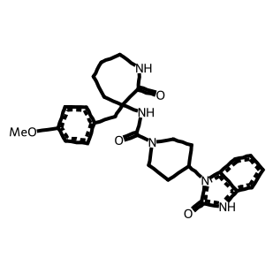 COc1ccc(CC2(NC(=O)N3CCC(n4c(=O)[nH]c5ccccc54)CC3)CCCCNC2=O)cc1